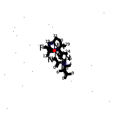 C=C(/C=C(/C)C(C)=C(C)C)c1ncc(CF)c(N/C2=C\C/C=C(/c3cn[nH]c3)C(C)CC2)n1